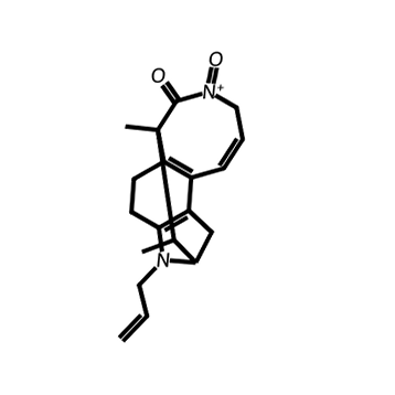 C=CCN1C2=C3CC1C(C)C1(C)C(=O)[N+](=O)C/C=C\C3=C1CC2